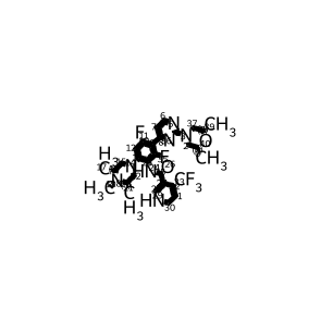 C[C@@H]1CN(c2nccc(-c3c(F)cc(N4C[C@@H](C)N(C)[C@@H](C)C4)c(NC(=O)C4=CNCC=C4C(F)(F)F)c3F)n2)C[C@H](C)O1